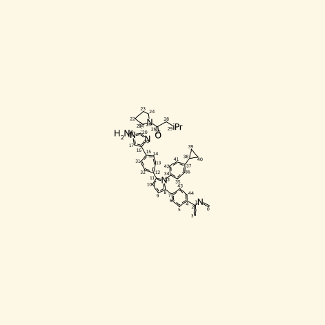 C=NC(=C)c1ccc(-c2ccc(-c3ccc(-c4cn(N)c([C@@H]5CCCN5C(=O)CC(C)C)n4)cc3)n2-c2ccc(C3CC3)cc2)cc1